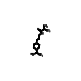 CC(C)C(=O)NCCCN1CCN(C(C)C)CC1